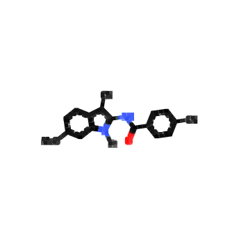 CCn1c(NC(=O)c2ccc(C#N)cc2)c(C#N)c2ccc(OC)cc21